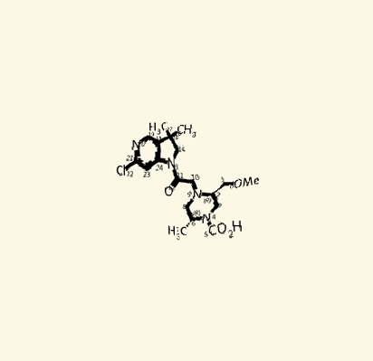 COC[C@H]1CN(C(=O)O)[C@H](C)CN1CC(=O)N1CC(C)(C)c2cnc(Cl)cc21